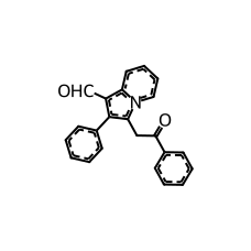 O=Cc1c(-c2ccccc2)c(CC(=O)c2ccccc2)n2ccccc12